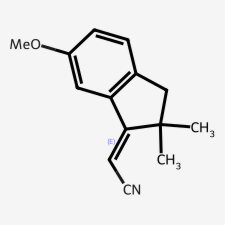 COc1ccc2c(c1)/C(=C/C#N)C(C)(C)C2